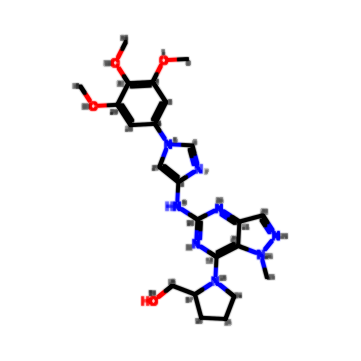 COc1cc(-n2cnc(Nc3nc(N4CCCC4CO)c4c(cnn4C)n3)c2)cc(OC)c1OC